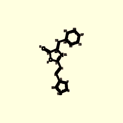 O=C1OC(/C=C/c2ccsc2)=NC/1=C\c1ccccc1